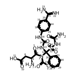 CC(=O)N(C(=O)[C@@H](N)CC(=O)O)C(NC(=O)Nc1ccc(C(=N)N)cc1)(c1ccccc1)S(=O)(=O)NC(N)=O